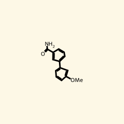 COc1cccc(-c2cccc(C(N)=O)c2)c1